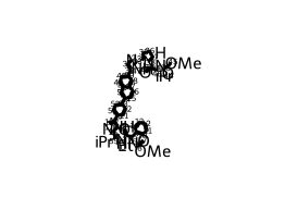 CCN(C(=O)[C@H](NC(=O)OC)c1ccccc1)[C@H](c1ncc(-c2ccc(-c3ccc4cc(-c5cnc([C@@H]6CCCN6C(=O)[C@@H](NC(=O)OC)C(C)C)[nH]5)ccc4c3)cc2)[nH]1)C(C)C